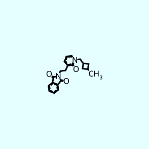 CC1CC(Cn2cccc(CCN3C(=O)c4ccccc4C3=O)c2=O)C1